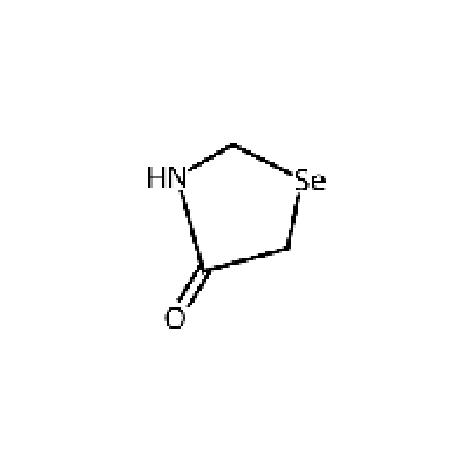 O=C1C[Se]CN1